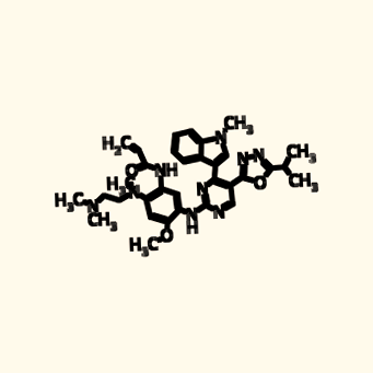 C=CC(=O)Nc1cc(Nc2ncc(-c3nnc(C(C)C)o3)c(-c3cn(C)c4ccccc34)n2)c(OC)cc1N(C)CCN(C)C